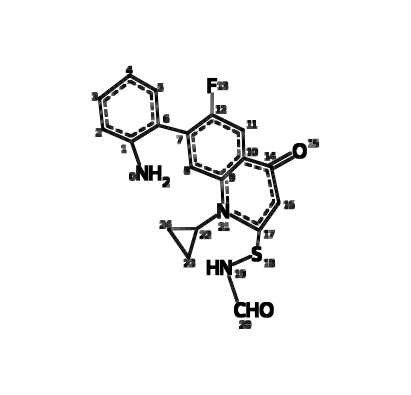 Nc1ccccc1-c1cc2c(cc1F)c(=O)cc(SNC=O)n2C1CC1